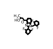 CC(O)CC(=O)c1cccc2c1nc(-c1c(F)cccc1F)n2Cc1c(F)cccc1F